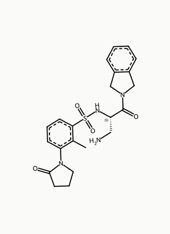 Cc1c(N2CCCC2=O)cccc1S(=O)(=O)N[C@@H](CN)C(=O)N1Cc2ccccc2C1